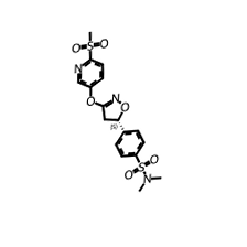 CN(C)S(=O)(=O)c1ccc([C@@H]2CC(Oc3ccc(S(C)(=O)=O)nc3)=NO2)cc1